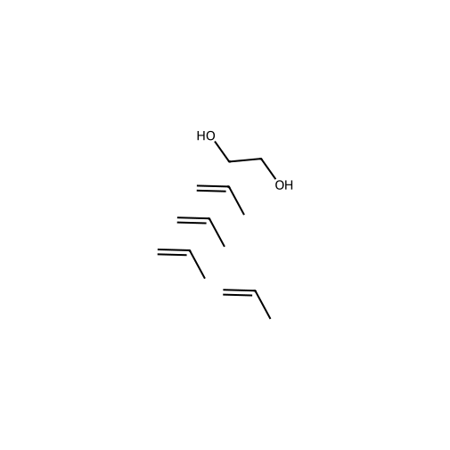 C=CC.C=CC.C=CC.C=CC.OCCO